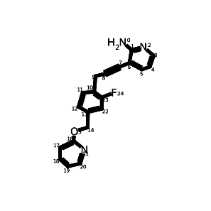 Nc1ncccc1C#CCc1ccc(COc2ccccn2)cc1F